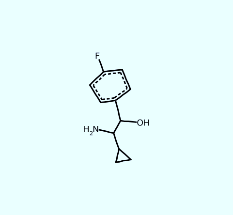 NC(C1CC1)C(O)c1ccc(F)cc1